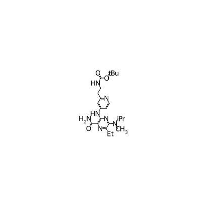 CCc1nc(C(N)=O)c(Nc2ccnc(CCNC(=O)OC(C)(C)C)c2)nc1N(C)C(C)C